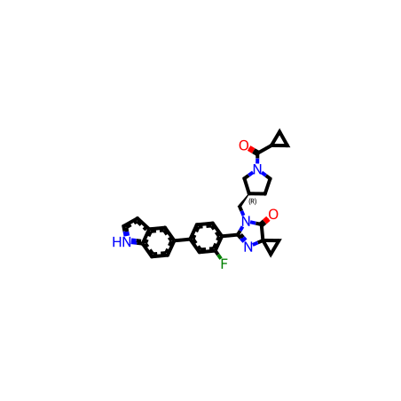 O=C(C1CC1)N1CC[C@@H](CN2C(=O)C3(CC3)N=C2c2ccc(-c3ccc4[nH]ccc4c3)cc2F)C1